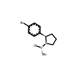 CC(C)(C)[S@+]([O-])N1CCC[C@@H]1c1ccc(Br)cc1